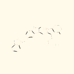 CCOC(=O)CCc1c(/C=C2\C(=O)Nc3ccc(SN4CCc5ccccc54)cc32)[nH]c2c1C(=O)CCC2